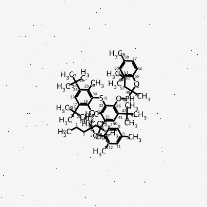 CCCC(C)(Oc1ccc(C)cc1C)POc1c(C(C)(C)C)cc(C(C)(C)C)c(C)c1Sc1c(C)c(C(C)(C)C)cc(C(C)(C)C)c1OPC(C)(CCC)Oc1ccc(C)cc1C